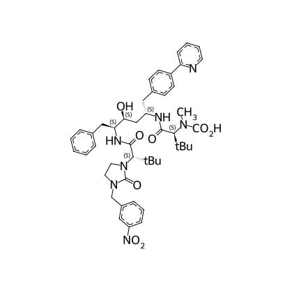 CN(C(=O)O)[C@H](C(=O)N[C@@H](Cc1ccc(-c2ccccn2)cc1)C[C@H](O)[C@H](Cc1ccccc1)NC(=O)[C@@H](N1CCN(Cc2cccc([N+](=O)[O-])c2)C1=O)C(C)(C)C)C(C)(C)C